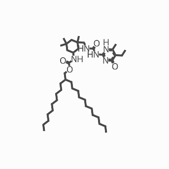 CCCCCCCCCCCCC(CCCCCCCCCC)COC(=O)NC1CC(C)(C)CC(C)(CNC(=O)Nc2nc(=O)c(CC)c(C)[nH]2)C1